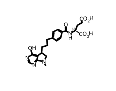 CN1CC(CCCc2ccc(C(=O)N[C@@H](CCC(=O)O)C(=O)O)cc2)c2c(O)ncnc21